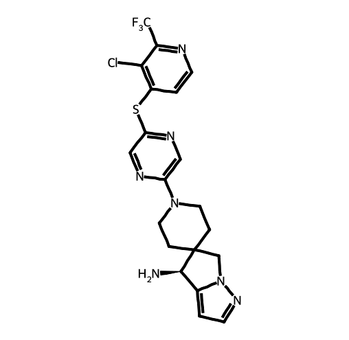 N[C@@H]1c2ccnn2CC12CCN(c1cnc(Sc3ccnc(C(F)(F)F)c3Cl)cn1)CC2